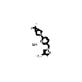 O=C(O)c1cnn(Cc2ccc(N3CC4C(C3)C4(F)F)nc2)c1.[LiH]